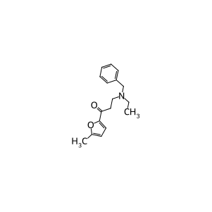 CCN(CCC(=O)c1ccc(C)o1)Cc1ccccc1